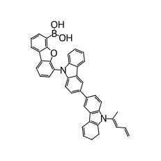 C=C/C=C(\C)n1c2c(c3cc(-c4ccc5c(c4)c4ccccc4n5-c4cccc5c4oc4c(B(O)O)cccc45)ccc31)C=CCC2